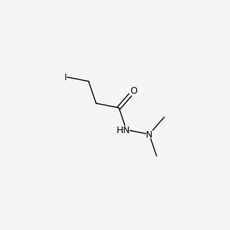 CN(C)NC(=O)CCI